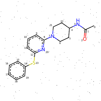 CC(=O)NC1CCN(c2cccc(Sc3ccccc3)n2)CC1